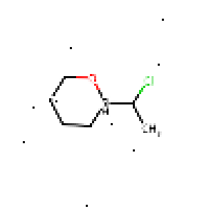 CC(Cl)[SiH]1CCCCO1